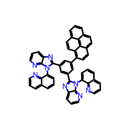 c1cnc2c(-n3c(-c4cc(-c5ccc6ccc7cccc8ccc5c6c78)cc(-c5nc6cccnc6n5-c5cccc6cccnc56)c4)nc4cccnc43)cccc2c1